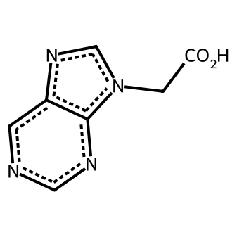 O=C(O)Cn1cnc2cncnc21